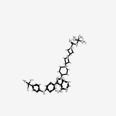 CC(C)(C)OC(=O)N1CC(N2CC(N3CCC(n4nc(-c5ccc(Oc6ccc(C(F)(F)F)cc6)cc5)c5c(N)ncnc54)CC3)C2)C1